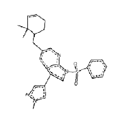 Cn1cc(-c2cn(S(=O)(=O)c3ccccc3)c3ncc(CC4CCC=CC4(C)C)cc23)cn1